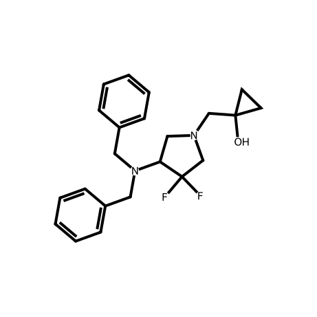 OC1(CN2CC(N(Cc3ccccc3)Cc3ccccc3)C(F)(F)C2)CC1